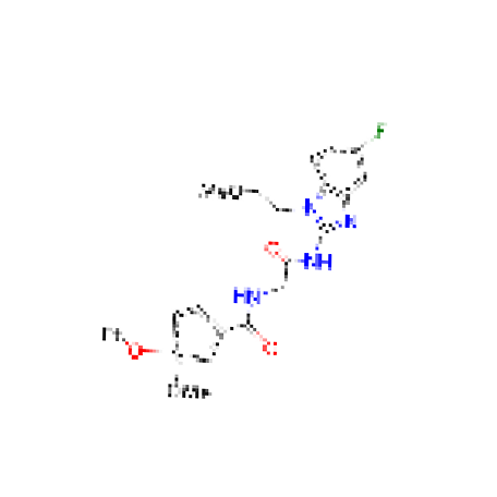 CCOc1ccc(C(=O)NCC(=O)Nc2nc3cc(F)ccc3n2CCOC)cc1OC